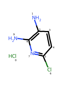 Cl.Nc1ccc(Cl)nc1N